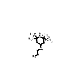 CC1(C)CC(OCCBr)CC(C)(C)N1